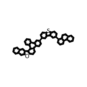 c1ccc2cc3c(cc2c1)oc1ccc2c4ccc(-c5ccc6sc7ccc(-c8cccc9c8ccc8ccccc89)cc7c6c5)cc4c4ccccc4c2c13